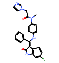 CN(C(=O)Cn1ccnc1)c1ccc(NC(=C2C(=O)Nc3cc(Cl)ccc32)c2ccccc2)cc1